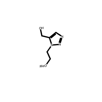 COCCn1nncc1CO